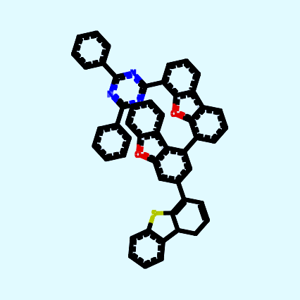 C1=CC(c2cc(-c3cccc4c3oc3c(-c5nc(-c6ccccc6)nc(-c6ccccc6)n5)cccc34)c3c(c2)oc2ccccc23)=C2Sc3ccccc3C2C1